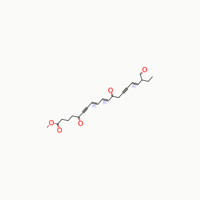 CCC(C=O)/C=C/C#CCC(=O)/C=C/C=C/C#CC(=O)CCCC(=O)OC